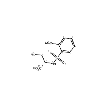 COc1ccccc1S(=O)(=O)N[C@@H](CO)C(=O)O